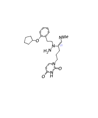 CN/C=C(/CCCn1ccc(=O)[nH]c1=O)N(N)CCc1ccccc1OC1CCCC1